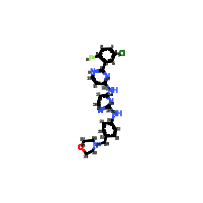 Fc1ccc(Cl)cc1-c1nccc(Nc2ccnc(Nc3ccc(CN4CCOCC4)cc3)n2)n1